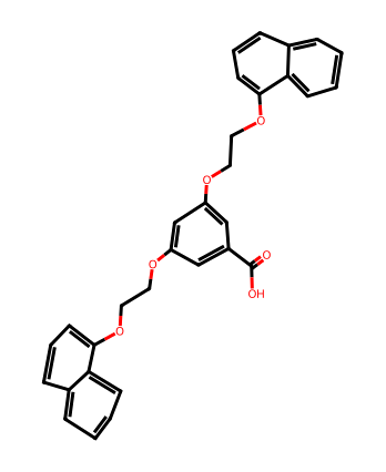 O=C(O)c1cc(OCCOc2cccc3ccccc23)cc(OCCOc2cccc3ccccc23)c1